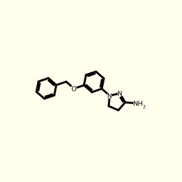 NC1=NN(c2cccc(OCc3ccccc3)c2)CC1